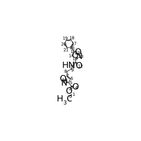 CCOC(=O)c1cc(CCNC(=O)c2cc(-c3ccccc3)on2)on1